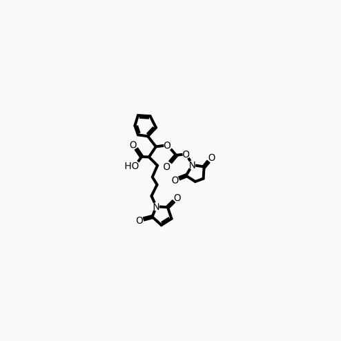 O=C(OC(c1ccccc1)C(CCCCN1C(=O)C=CC1=O)C(=O)O)ON1C(=O)CCC1=O